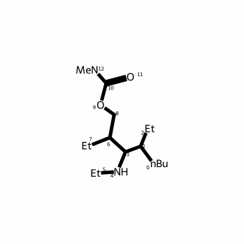 CCCCC(CC)C(NCC)C(CC)COC(=O)NC